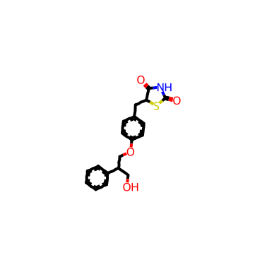 O=C1NC(=O)C(Cc2ccc(OCC(CO)c3ccccc3)cc2)S1